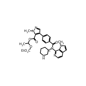 CCOC(=O)OC(C)OC(=O)c1c(-c2ccc(C(=O)N(c3nccc4ccn(C)c34)[C@@H]3CCCNC3)cc2)cnn1C